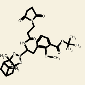 COc1c(CC(NC(=O)CCN2C(=O)CCC2=O)B2OC3CC4CC(C4(C)C)C3(C)O2)cccc1C(=O)OC(C)(C)C